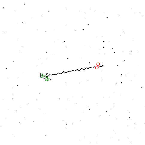 C=CC(=O)OCCCCCCCCCCCCCCCCCCCC[SiH2]C(Br)Br